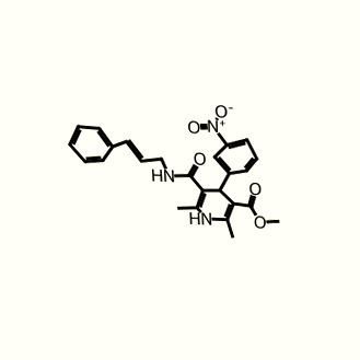 COC(=O)C1=C(C)NC(C)=C(C(=O)NCC=Cc2ccccc2)C1c1cccc([N+](=O)[O-])c1